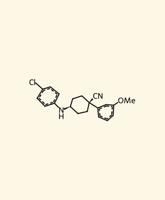 COc1cccc([C@]2(C#N)CC[C@@H](Nc3ccc(Cl)cc3)CC2)c1